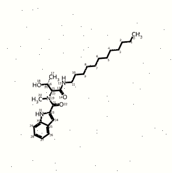 CCCCCCCCCCCCNC(=O)[C@H]([C@@H](C)O)N(C)C(=O)c1cc2ccccc2[nH]1